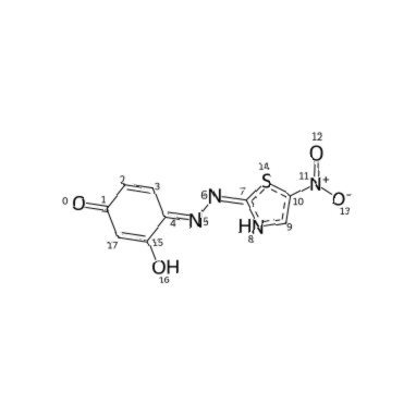 O=C1C=C/C(=N\N=c2/[nH]cc([N+](=O)[O-])s2)C(O)=C1